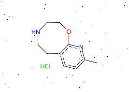 Cc1ccc2c(n1)OCCNCC2.Cl